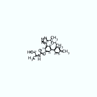 CCOC(C)c1nnnn1-c1cc(OC(=O)N[C@@H](C)CO)cc(-c2ccc(C)cc2)c1